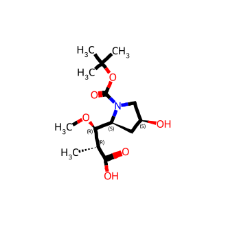 CO[C@H]([C@@H](C)C(=O)O)[C@@H]1C[C@H](O)CN1C(=O)OC(C)(C)C